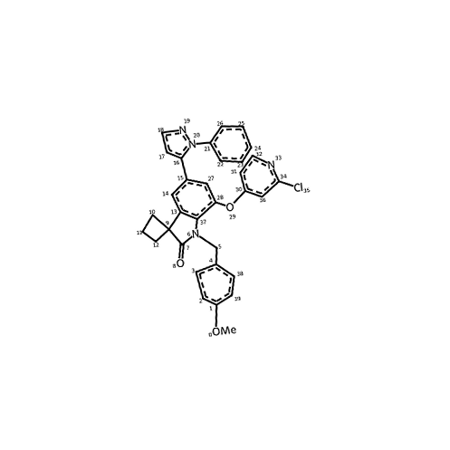 COc1ccc(CN2C(=O)C3(CCC3)c3cc(-c4ccnn4-c4ccccc4)cc(Oc4ccnc(Cl)c4)c32)cc1